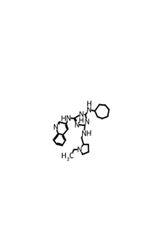 CCN1CCCC1CNC1=NC(NC2CCCCCC2)NC(Nc2cnc3ccccc3c2)=N1